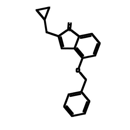 c1ccc(COc2cccc3[nH]c(CC4CC4)cc23)cc1